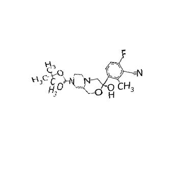 Cc1c([C@@]2(O)CN3CCN(C(=O)OC(C)(C)C)C=C3CO2)ccc(F)c1C#N